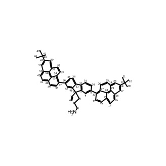 C=CC1(CCCN)c2cc(-c3ccc4ccc5cc(C(C)(C)C)cc6ccc3c4c56)ccc2-c2ccc(-c3ccc4ccc5cc(C(C)(C)C)cc6ccc3c4c56)cc21